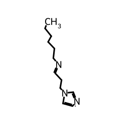 CCCCCCN=CCCn1c[c]nc1